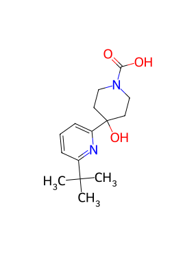 CC(C)(C)c1cccc(C2(O)CCN(C(=O)O)CC2)n1